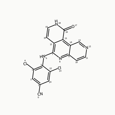 N#Cc1cc(Cl)c(Nc2nc3ccncc3c3c(=O)[nH]ccc23)c(Cl)c1